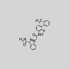 Cc1ccccc1-c1cccc(NC(=O)Cn2nc(C(N)=O)c3ccccc32)c1F